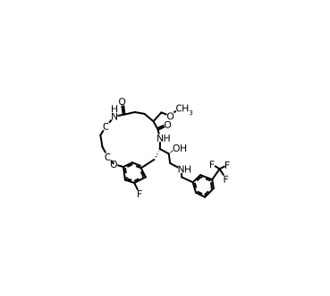 COCC1CCC(=O)NCCCCOc2cc(F)cc(c2)C[C@@H]([C@H](O)CNCc2cccc(C(F)(F)F)c2)NC1=O